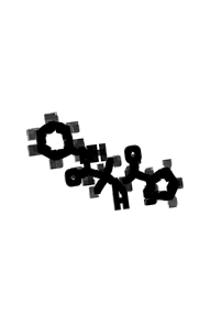 CC(C)(NC(=O)c1cccs1)C(=O)Nc1ccccc1